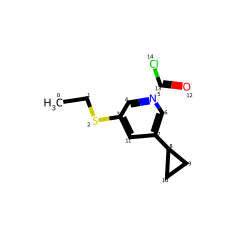 CCSc1cncc(C2CC2)c1.O=CCl